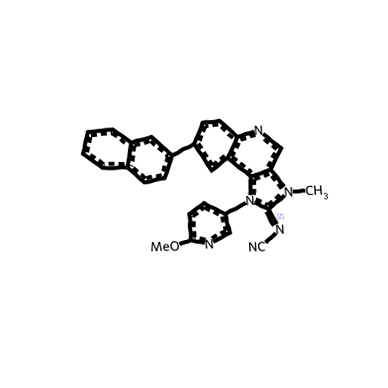 COc1ccc(-n2/c(=N\C#N)n(C)c3cnc4ccc(-c5ccc6ccccc6c5)cc4c32)cn1